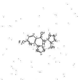 CCCn1nnnc1NC(=O)c1ccc(C(F)(F)F)nc1-n1cncn1